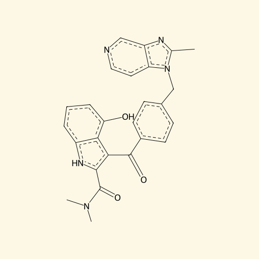 Cc1nc2cnccc2n1Cc1ccc(C(=O)c2c(C(=O)N(C)C)[nH]c3cccc(O)c23)cc1